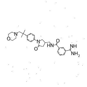 CC(C)(CN1CCOCC1)c1ccc(N2CC(CNC(=O)c3cccc(C(=N)N)c3)CC2=O)cc1